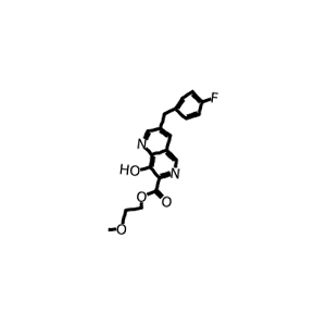 COCCOC(=O)c1ncc2cc(Cc3ccc(F)cc3)cnc2c1O